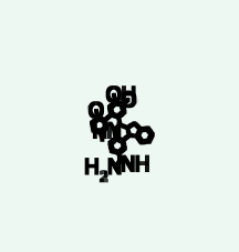 COc1cc(C2Nc3ccc(C(=N)N)cc3C3c4ccccc4CC23)c(-c2cc(C)ccc2OC)cc1O